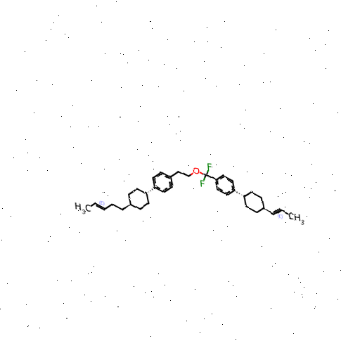 C/C=C/CC[C@H]1CC[C@H](c2ccc(CCOC(F)(F)c3ccc([C@H]4CC[C@H](/C=C/C)CC4)cc3)cc2)CC1